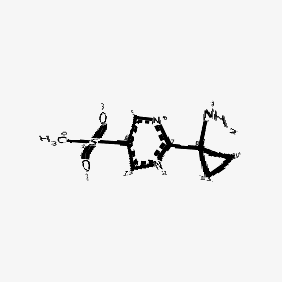 CS(=O)(=O)c1cnc(C2(N)CC2)nc1